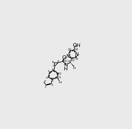 C/C=C\c1ccc(C2CC2C(=O)N[C@H](C)c2cnc(O)cn2)cc1C